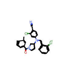 Cc1cccc(C(=O)N2CCC(N(Cc3ccccc3Cl)c3ccc(C#N)c(Cl)c3)C2)c1